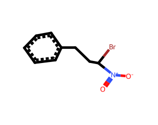 O=[N+]([O-])C(Br)CCc1ccccc1